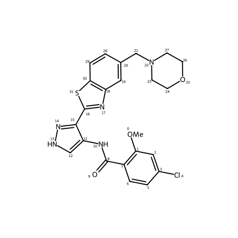 COc1cc(Cl)ccc1C(=O)Nc1c[nH]nc1-c1nc2cc(CN3CCOCC3)ccc2s1